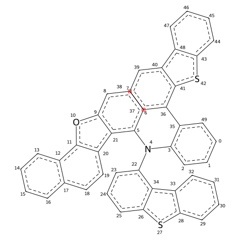 c1ccc(N(c2cccc3oc4c5ccccc5ccc4c23)c2cccc3sc4ccccc4c23)c(-c2cccc3c2sc2ccccc23)c1